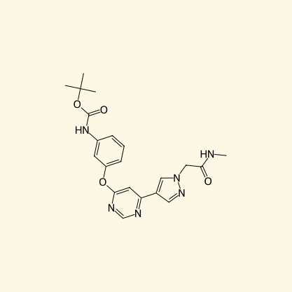 CNC(=O)Cn1cc(-c2cc(Oc3cccc(NC(=O)OC(C)(C)C)c3)ncn2)cn1